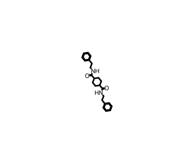 O=C(NCCc1ccccc1)C1CCC(C(=O)NCCc2ccccc2)CC1